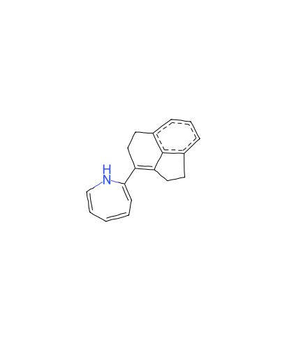 C1=CC=C(C2=C3CCc4cccc(c43)CC2)NC=C1